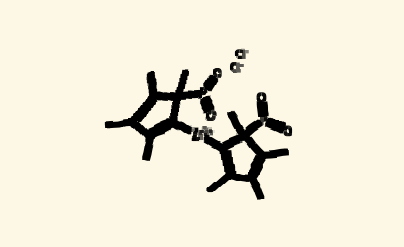 CC1=C(C)C(C)(P(=O)=O)[C]([Zr+2][C]2=C(C)C(C)=C(C)C2(C)P(=O)=O)=C1C.[Cl-].[Cl-]